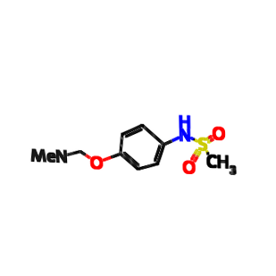 CNCOc1ccc(NS(C)(=O)=O)cc1